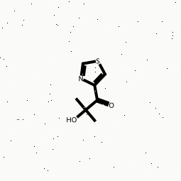 CC(C)(O)C(=O)c1cscn1